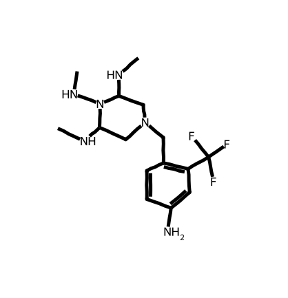 CNC1CN(Cc2ccc(N)cc2C(F)(F)F)CC(NC)N1NC